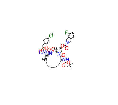 CC(C)(C)OC(=O)N[C@H]1CCCCCCC[C@@H]2C[C@@]2(C(=O)NS(=O)(=O)Cc2ccc(Cl)cc2)NC(=O)[C@@H]2C[C@@H](OC(=O)N3Cc4cccc(F)c4C3)CN2C1=O